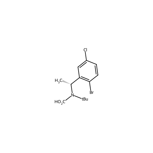 C[C@H](c1cc(Cl)ccc1Br)N(C(=O)O)C(C)(C)C